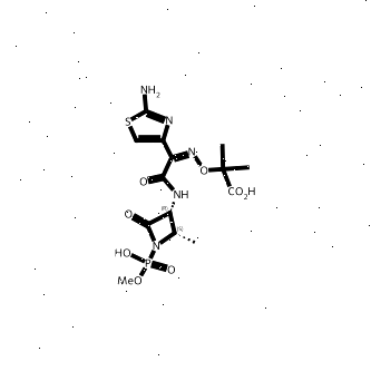 COP(=O)(O)N1C(=O)[C@H](NC(=O)C(=NOC(C)(C)C(=O)O)c2csc(N)n2)[C@@H]1C